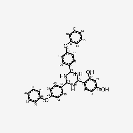 Oc1ccc(C2NC(c3ccc(Oc4ccccc4)cc3)NC(c3ccc(Oc4ccccc4)cc3)N2)c(O)c1